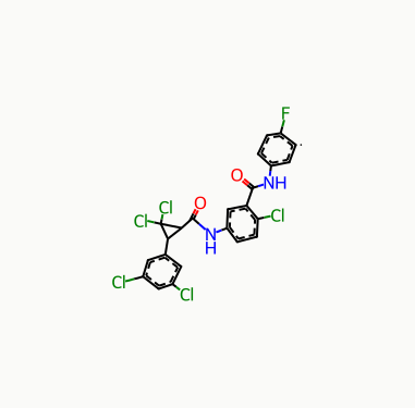 O=C(Nc1c[c]c(F)cc1)c1cc(NC(=O)C2C(c3cc(Cl)cc(Cl)c3)C2(Cl)Cl)ccc1Cl